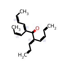 C=C/C=C\C(=C/C=C)C(=O)C(/C=C\C)=C/C=C\C